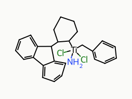 [NH2][Ti]([Cl])([Cl])([CH2]c1ccccc1)[CH]1CCCCC1C1c2ccccc2-c2ccccc21